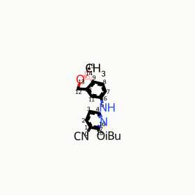 [C-]#[N+]c1ccc(Nc2ccc3c(c2)COB3C)nc1OCC(C)C